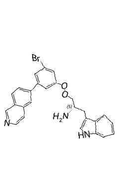 N[C@H](COOc1cc(Br)cc(-c2ccc3cnccc3c2)c1)Cc1c[nH]c2ccccc12